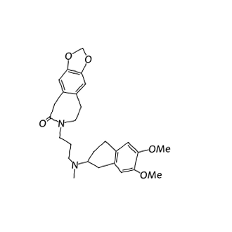 COc1cc2c(cc1OC)CC(N(C)CCCN1CCc3cc4c(cc3CC1=O)OCO4)CC2